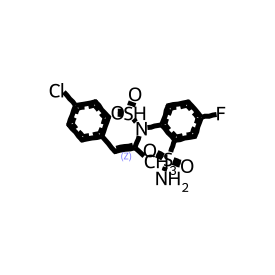 C/C(=C/c1ccc(Cl)cc1)N(c1ccc(F)cc1S(N)(=O)=O)[SH](=O)=O